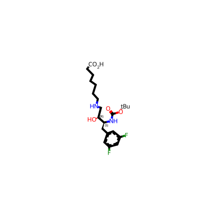 CC(C)(C)OC(=O)N[C@@H](Cc1cc(F)cc(F)c1)[C@H](O)CNCCCCCCC(=O)O